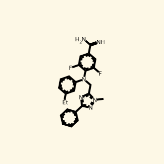 CCc1cccc(N(Cc2nc(-c3ccccc3)nn2C)c2c(F)cc(C(=N)N)cc2F)c1